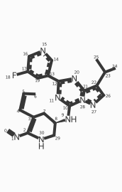 C=NC1=C(/C=C\C)C[C@@H](Nc2nc(-c3cncc(F)c3)nc3c(C(C)C)cnn23)CN1